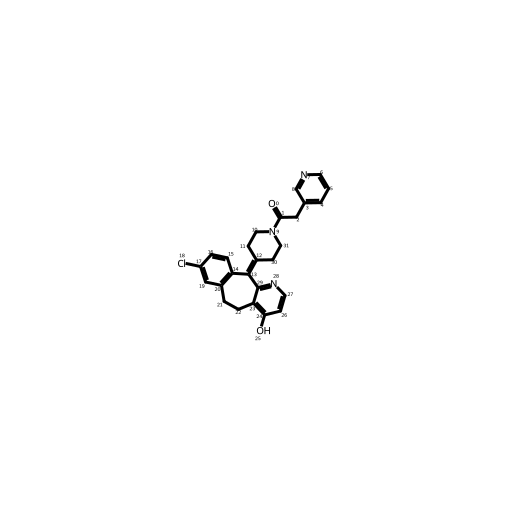 O=C(Cc1cccnc1)N1CCC(=C2c3ccc(Cl)cc3CCc3c(O)ccnc32)CC1